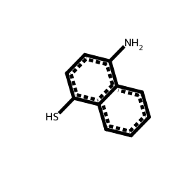 Nc1ccc(S)c2ccccc12